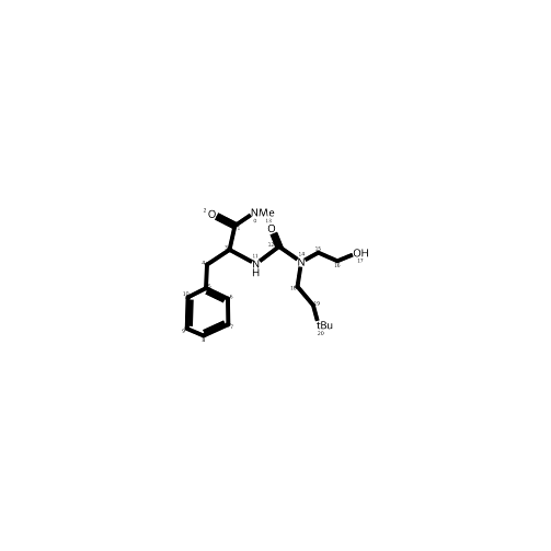 CNC(=O)C(Cc1ccccc1)NC(=O)N(CCO)CCC(C)(C)C